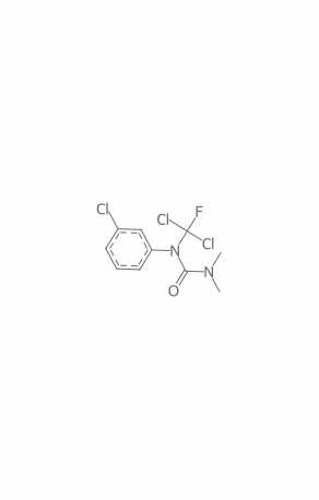 CN(C)C(=O)N(c1cccc(Cl)c1)C(F)(Cl)Cl